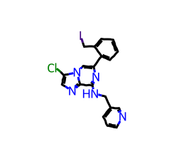 Clc1cnc2c(NCc3cccnc3)nc(-c3ccccc3CI)cn12